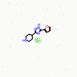 Cl.Cl.c1coc(-c2nc(C3CCNCC3)n[nH]2)c1